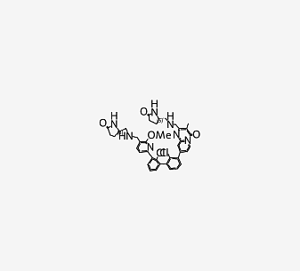 COc1nc(-c2cccc(-c3cccc(-c4ccn5c(=O)c(C)c(CNC[C@@H]6CCC(=O)N6)nc5c4)c3Cl)c2Cl)ccc1CNC[C@H]1CCC(=O)N1